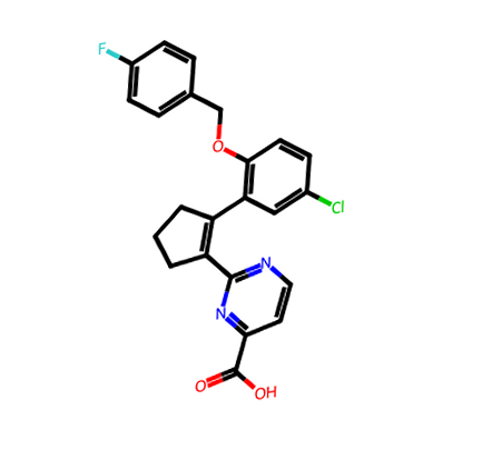 O=C(O)c1ccnc(C2=C(c3cc(Cl)ccc3OCc3ccc(F)cc3)CCC2)n1